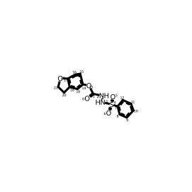 O=C(NNS(=O)(=O)c1ccccc1)Oc1ccc2c(c1)CCO2